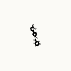 O=C1CCC(c2ccc(OCc3ccccc3)cc2)N1